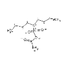 CCCCN(CCCC)S(=O)(=O)OC(N)=O